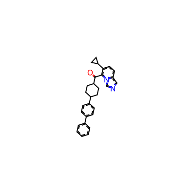 O=C(c1c(C2CC2)ccc2cncn12)C1CCC(c2ccc(-c3ccccc3)cc2)CC1